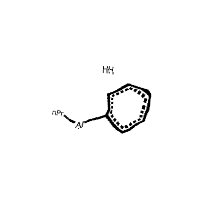 CC[CH2][Al][c]1ccccc1.[HH]